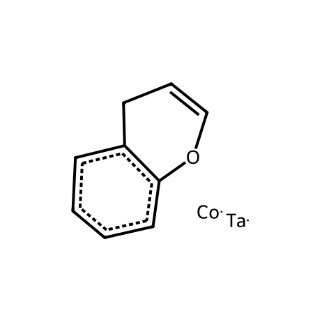 C1=COc2ccccc2C1.[Co].[Ta]